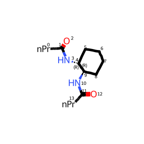 CCCC(=O)N[C@@H]1CCCC[C@H]1NC(=O)CCC